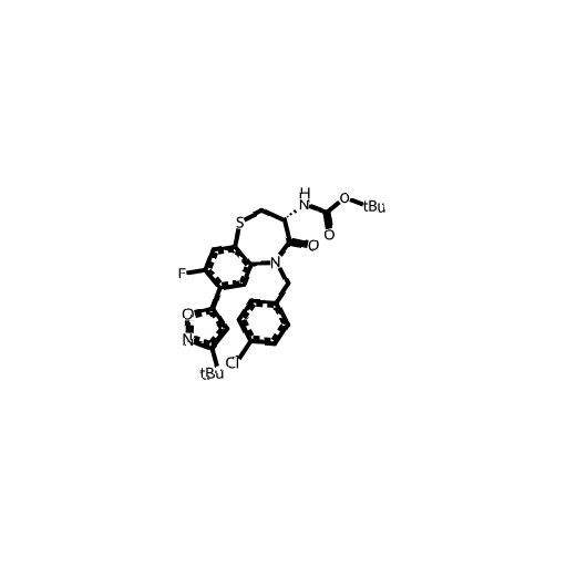 CC(C)(C)OC(=O)N[C@H]1CSc2cc(F)c(-c3cc(C(C)(C)C)no3)cc2N(Cc2ccc(Cl)cc2)C1=O